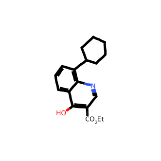 CCOC(=O)c1cnc2c(C3CCCCC3)cccc2c1O